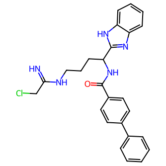 N=C(CCl)NCCCC(NC(=O)c1ccc(-c2ccccc2)cc1)c1nc2ccccc2[nH]1